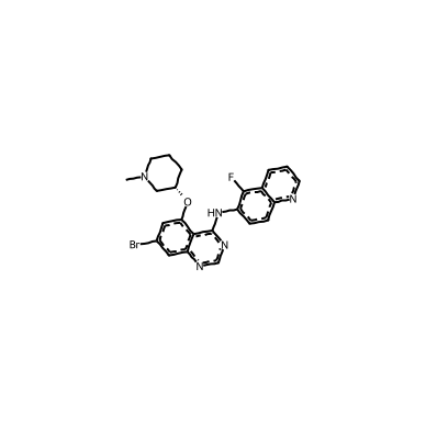 CN1CCC[C@H](Oc2cc(Br)cc3ncnc(Nc4ccc5ncccc5c4F)c23)C1